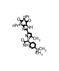 CCCn1c(=O)c2[nH]c(-c3cc(C)n(C(C(N)=O)c4ccc(N(C)C)cc4)n3)nc2n(CCC)c1=O